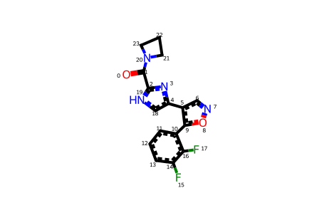 O=C(c1nc(-c2cnoc2-c2cccc(F)c2F)c[nH]1)N1CCC1